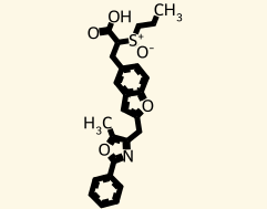 CCC[S+]([O-])C(Cc1ccc2oc(Cc3nc(-c4ccccc4)oc3C)cc2c1)C(=O)O